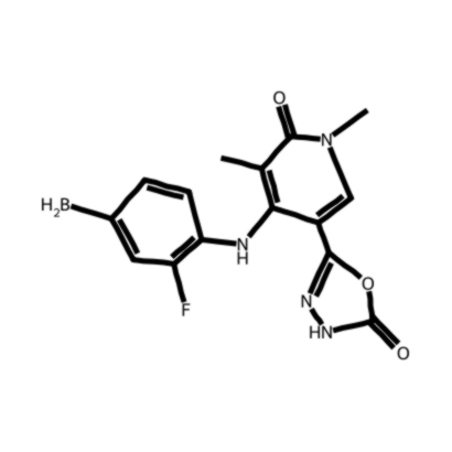 Bc1ccc(Nc2c(-c3n[nH]c(=O)o3)cn(C)c(=O)c2C)c(F)c1